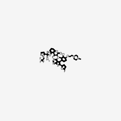 BC(B)(Oc1ccccc1C(F)C(Oc1ncnc2sc(-c3ccc(F)o3)c(-c3ccc(OCCN4CCN(C)CC4)c(Cl)c3C)c12)C(=O)O)c1ccnn1CC(F)(F)F